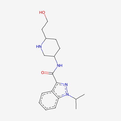 CC(C)n1nc(C(=O)NC2CCC(CCO)NC2)c2ccccc21